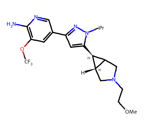 COCCN1CC2[C@H](C1)[C@H]2c1cc(-c2cnc(N)c(OC(F)(F)F)c2)nn1C(C)C